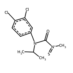 CC(C)N(C(=O)[N+](C)=S)c1ccc(Cl)c(Cl)c1